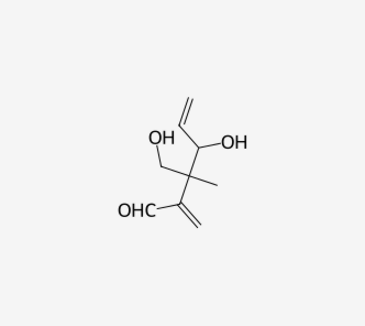 C=CC(O)C(C)(CO)C(=C)C=O